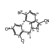 C[C@H](c1ncc(Cl)cc1Cl)n1nc(C#N)c2ncc(Br)cc21